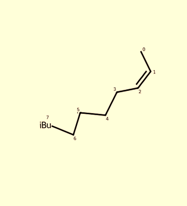 C/C=C\CC[CH]CC(C)CC